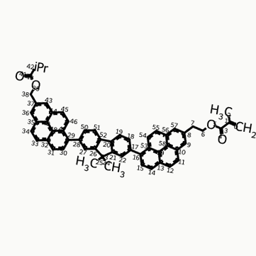 C=C(C)C(=O)OCCc1cc2ccc3ccc(-c4ccc5c(c4)C(C)(C)c4cc(-c6ccc7ccc8cc(COC(=O)C(C)C)cc9ccc6c7c89)ccc4-5)c4ccc(c1)c2c34